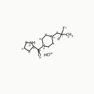 CC(F)(F)CN1CCN(C(=O)C2CCCN2)CC1.Cl